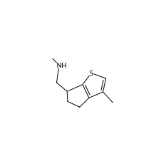 CNCC1CCc2c(C)csc21